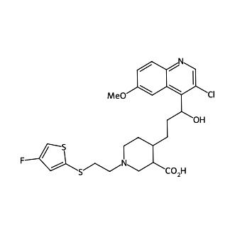 COc1ccc2ncc(Cl)c(C(O)CCC3CCN(CCSc4cc(F)cs4)CC3C(=O)O)c2c1